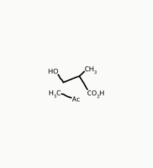 CC(C)=O.CC(CO)C(=O)O